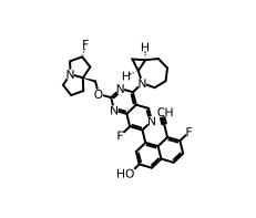 C#Cc1c(F)ccc2cc(O)cc(-c3ncc4c(N5CCCC[C@@H]6C[C@@H]65)nc(OC[C@@]56CCCN5C[C@H](F)C6)nc4c3F)c12